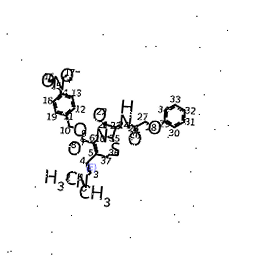 CN(C)/C=C/C1=C(C(=O)OCc2ccc([N+](=O)[O-])cc2)N2C(=O)C(NC(=O)COc3ccccc3)C2SC1